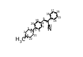 CN1CCN(c2ccc(/C=C(\C#N)c3ccccc3)cc2)CC1